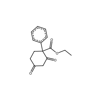 CCOC(=O)C1(c2ccccc2)CCC(=O)CC1=O